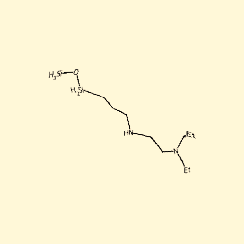 CCN(CC)CCNCCC[SiH2]O[SiH3]